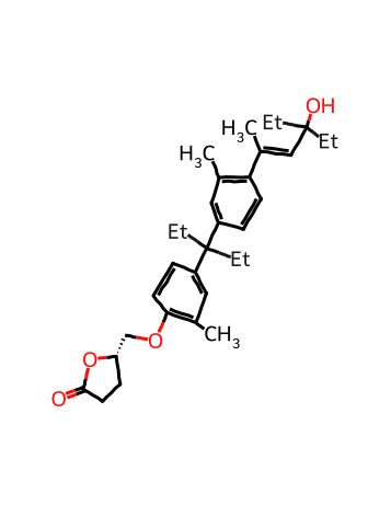 CCC(O)(/C=C(\C)c1ccc(C(CC)(CC)c2ccc(OC[C@@H]3CCC(=O)O3)c(C)c2)cc1C)CC